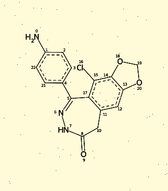 Nc1ccc(C2=NNC(=O)Cc3cc4c(c(Cl)c32)OCO4)cc1